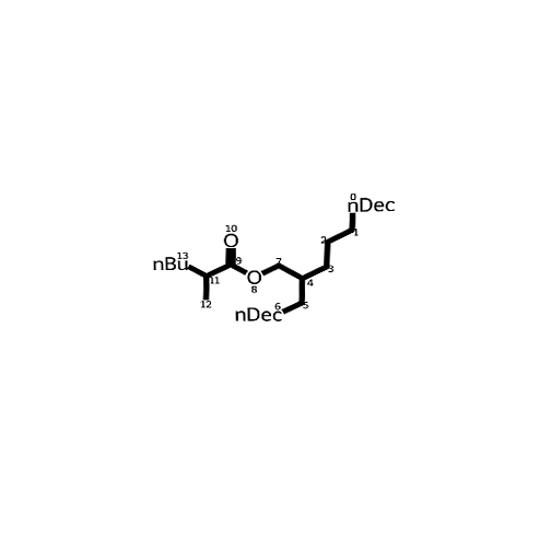 CCCCCCCCCCCCCC(CCCCCCCCCCC)COC(=O)C(C)CCCC